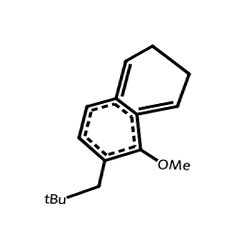 COc1c(CC(C)(C)C)ccc2c1=CCCC=2